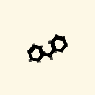 C1=CCCC(OC2=CC=CCC2)=C1